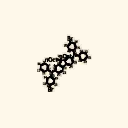 CCCCCCCCC1(CCCCCCCC)c2cc(N(c3ccccc3)c3ccc(Br)cc3)ccc2-c2ccc(N(c3ccccc3)c3ccc(Br)cc3)cc21